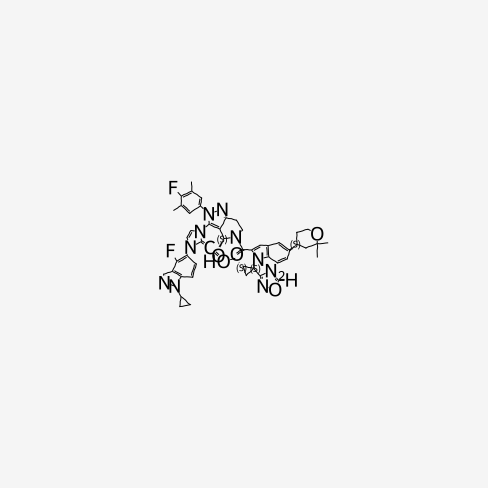 [2H]c1nc([C@]2(n3c(C(=O)N4CCc5nn(-c6cc(C)c(F)c(C)c6)c(N6C=CN(c7ccc8c(cnn8C8CC8)c7F)C6=C=O)c5[C@@H]4C)cc4cc([C@H]5CCOC(C)(C)C5)ccc43)C[C@@H]2CO)no1